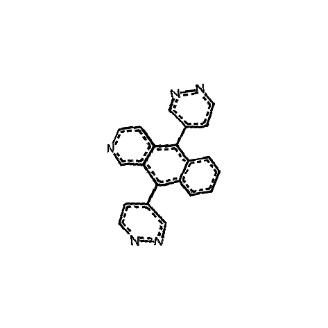 c1ccc2c(-c3ccnnc3)c3cnccc3c(-c3ccnnc3)c2c1